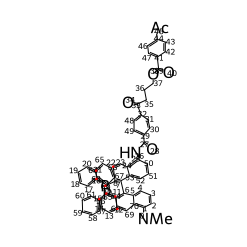 CNc1cccc2c(-c3c(P(c4ccccc4)c4ccccc4)ccc4c(NC(=O)c5ccc(C(=O)CCCOC(=O)c6ccc(C(C)=O)cc6)cc5)cccc34)c(P(c3ccccc3)c3ccccc3)ccc12